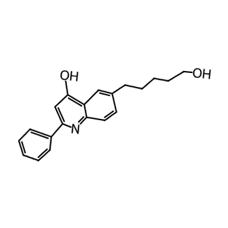 OCCCCCc1ccc2nc(-c3ccccc3)cc(O)c2c1